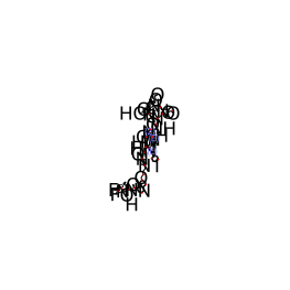 C#C[C@H]1CC(F)(F)CN1C(=O)CNC(=O)c1ccnc2ccc(OCCCN3CCN(C(=O)CCCCCC(=O)N/N=C\C(C/C=N/NCN/N=C/c4ccc(I)cc4)NC(=O)CN4CCN(COC=O)CCN(COC=O)CCN(CC(=O)O)CC4)CC3)cc12